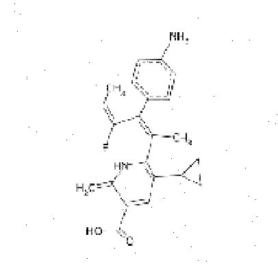 C=C1NC(/C(C)=C(\C(F)=C/C)c2ccc(N)cc2)=C(C2CC2)C=C1C(=O)O